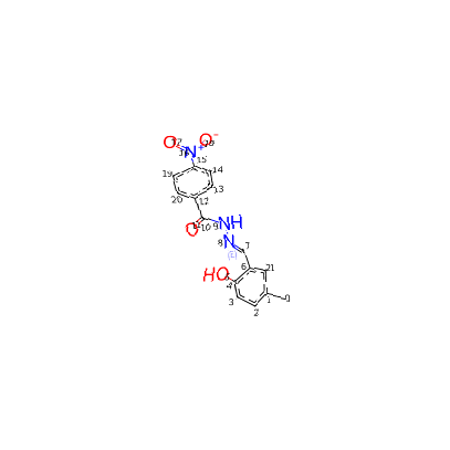 Cc1ccc(O)c(/C=N/NC(=O)c2ccc([N+](=O)[O-])cc2)c1